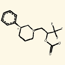 O=C(Cl)OC(CN1CCC[C@@H](c2ccccc2)C1)C(F)(F)F